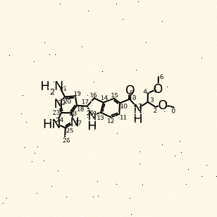 COCC(COC)NC(=O)c1ccc2c(c1)CC(c1cc(N)nc3[nH]c(C)nc13)N2